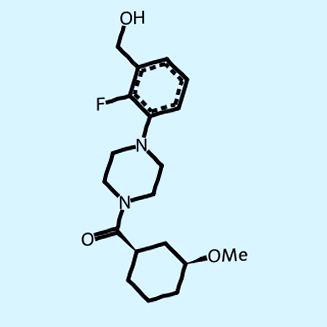 CO[C@H]1CCC[C@@H](C(=O)N2CCN(c3cccc(CO)c3F)CC2)C1